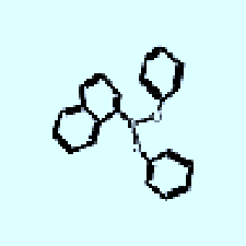 c1ccc(OB(Oc2ccccc2)c2cccc3ccccc23)cc1